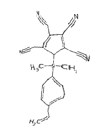 C=Cc1ccc([Si](C)(C)C2C(C#N)=C(C#N)C(C#N)=C2C#N)cc1